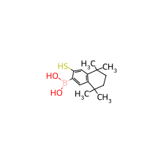 CC1(C)CCC(C)(C)c2cc(B(O)O)c(S)cc21